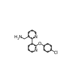 NCc1cccnc1-c1cccnc1Oc1ccc(Cl)cc1